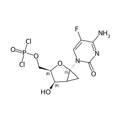 Nc1nc(=O)n([C@]23CC2[C@@H](O)[C@@H](COP(=O)(Cl)Cl)O3)cc1F